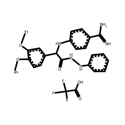 CCOc1cc(C(Nc2ccc(C(=N)N)cc2)C(=O)NNc2ccccc2)ccc1OC(C)C.O=C(O)C(F)(F)F